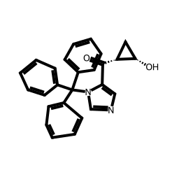 O=C(c1cncn1C(c1ccccc1)(c1ccccc1)c1ccccc1)[C@@H]1C[C@@H]1O